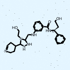 O=C(N[C@@H](CCO)c1ccccc1)c1cccc(NCC2NNC(C3CC=NCC3)N2CCO)c1